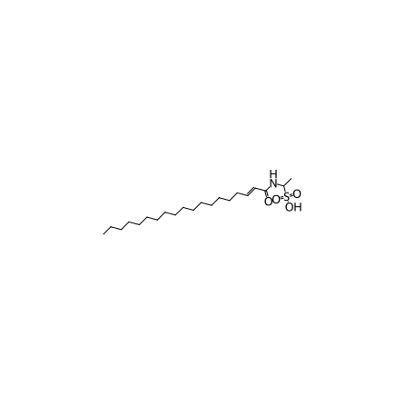 CCCCCCCCCCCCCCCCC=CC(=O)NC(C)S(=O)(=O)O